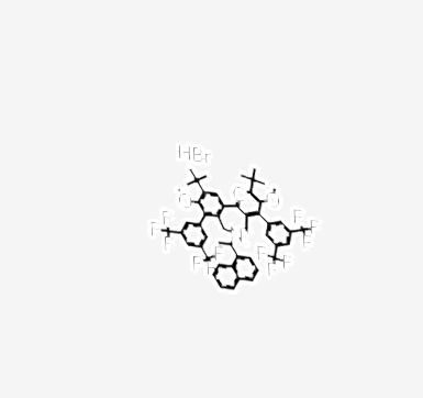 Br.COC1=C(C(C)(C)C)[C+]=C2C(=C1c1cc(C(F)(F)F)cc(C(F)(F)F)c1)C[N@@+](C)(C(C)c1cccc3ccccc13)Cc1c2cc(C(C)(C)C)c(OC)c1-c1cc(C(F)(F)F)cc(C(F)(F)F)c1